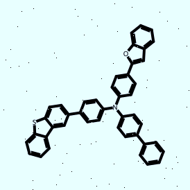 c1ccc(-c2ccc(N(c3ccc(-c4ccc5sc6ccccc6c5c4)cc3)c3ccc(-c4cc5ccccc5o4)cc3)cc2)cc1